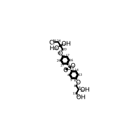 O=S(=O)(c1ccc(OC[C@H](O)CO)cc1)c1ccc(OCC(O)(O)CCl)cc1